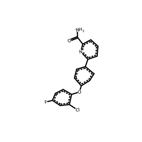 NC(=O)c1cccc(-c2ccc(Oc3ccc(F)cc3Cl)cc2)n1